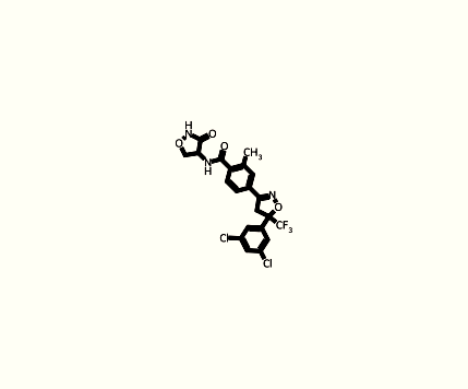 Cc1cc(C2=NOC(c3cc(Cl)cc(Cl)c3)(C(F)(F)F)C2)ccc1C(=O)NC1CONC1=O